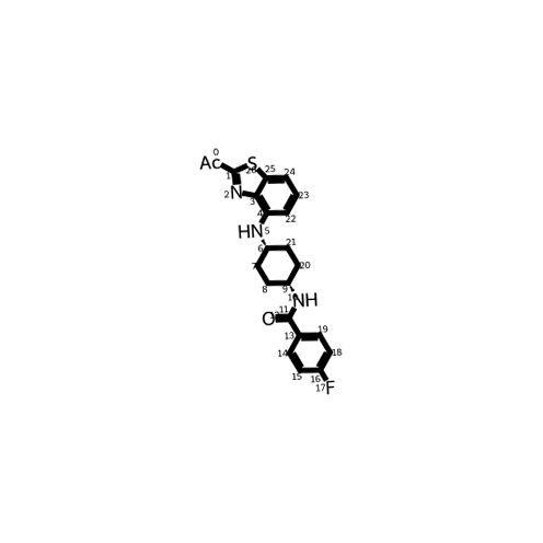 CC(=O)c1nc2c(N[C@H]3CC[C@@H](NC(=O)c4ccc(F)cc4)CC3)cccc2s1